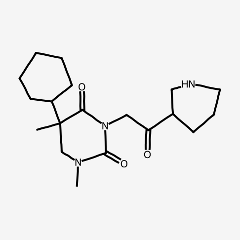 CN1CC(C)(C2CCCCC2)C(=O)N(CC(=O)C2CCCNC2)C1=O